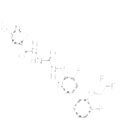 COc1cc(C(=O)NNC(=O)N[C@H](C)c2ncc(-c3cccc(F)c3OCC(F)F)cc2F)on1